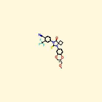 COC[C@H]1COc2cc(N3C(=S)N(c4ccc(C#N)c(C(F)(F)F)c4)C(=O)C34CCC4)ccc2O1